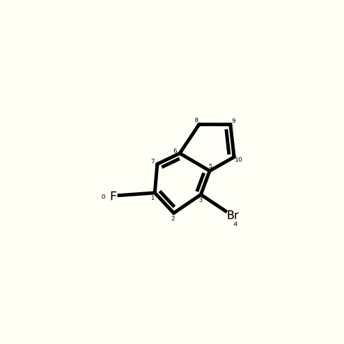 Fc1cc(Br)c2c(c1)CC=C2